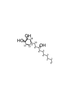 CCCCCCCC(O)CCc1ccc(O)c(O)c1